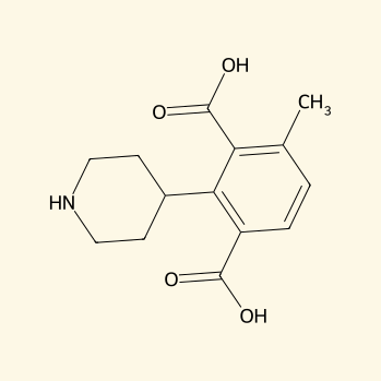 Cc1ccc(C(=O)O)c(C2CCNCC2)c1C(=O)O